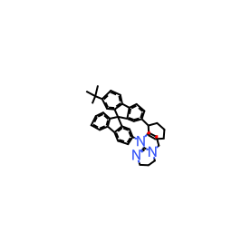 CC(C)(C)c1ccc2c(c1)C1(c3ccccc3-c3ccc(N4CCCN5CCCN=C54)cc31)c1cc(C3CCCCC3)ccc1-2